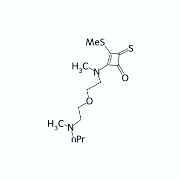 CCCN(C)CCOCCN(C)c1c(SC)c(=S)c1=O